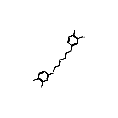 CCc1cc(OCCOCCOc2ccc(C)c(CC)c2)ccc1C